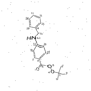 CC(C)(C)OOC(=O)c1ccc(NCc2ccccc2)cc1